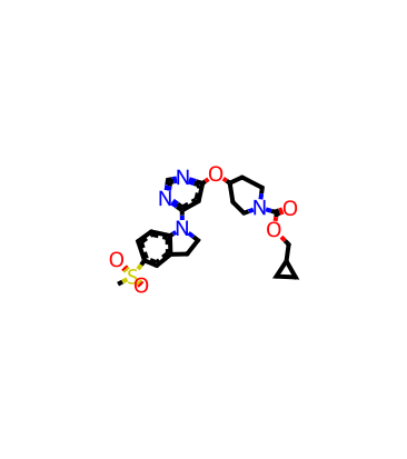 CS(=O)(=O)c1ccc2c(c1)CCN2c1cc(OC2CCN(C(=O)OCC3CC3)CC2)ncn1